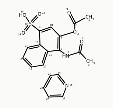 CC(=O)Nc1c(OC(C)=O)cc(S(=O)(=O)O)c2ccccc12.c1ccncc1